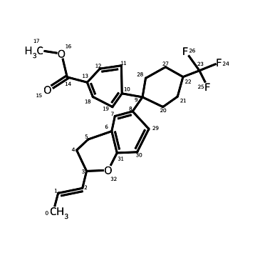 CC=CC1CCc2cc(C3(c4ccc(C(=O)OC)cc4)CCC(C(F)(F)F)CC3)ccc2O1